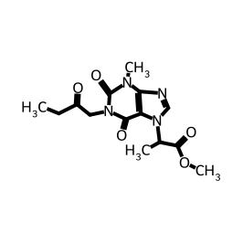 CCC(=O)Cn1c(=O)c2c(ncn2C(C)C(=O)OC)n(C)c1=O